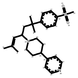 CC(C)=CC(CC(C)(C)c1ccc(S(C)(=O)=O)cc1)N1CCC(c2ccncc2)CC1